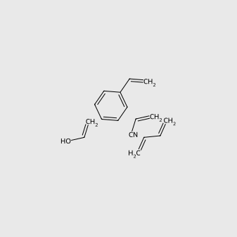 C=CC#N.C=CC=C.C=CO.C=Cc1ccccc1